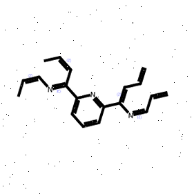 C=C/C=N\C(=C/C=C)c1cccc(C(/C=C\C)=N/C=C\C)n1